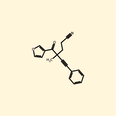 CC(C#Cc1ccccc1)(CCC#N)C(=O)c1ccoc1